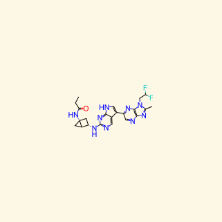 CCC(=O)N[C@@]12CC1[C@@H](Nc1ncc3c(-c4cnc5nc(C)n(CC(F)F)c5n4)c[nH]c3n1)C2